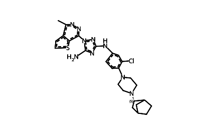 Cc1nnc(-n2nc(Nc3ccc(N4CCN([C@H]5CC6CCC5C6)CC4)c(Cl)c3)nc2N)c2sccc12